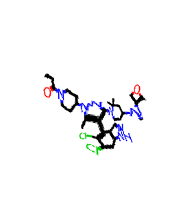 C=CC(=O)N1CCC(n2nc(N3CCC(N(C)C4COC4)CC3(C)C)c(-c3c(Cl)c(Cl)cc4[nH]ncc34)c2C)CC1